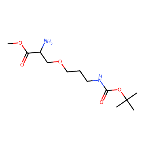 COC(=O)C(N)COCCCNC(=O)OC(C)(C)C